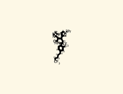 CC(C)n1ccc(C2=C(c3nnn[nH]3)C(=O)N[C@@](c3ccc(CCCCC(F)(F)F)cc3F)(C(F)(F)F)C2)n1